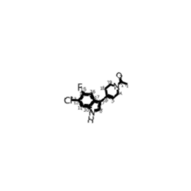 CC(=O)N1CC=C(c2c[nH]c3cc(Cl)c(F)cc23)CC1